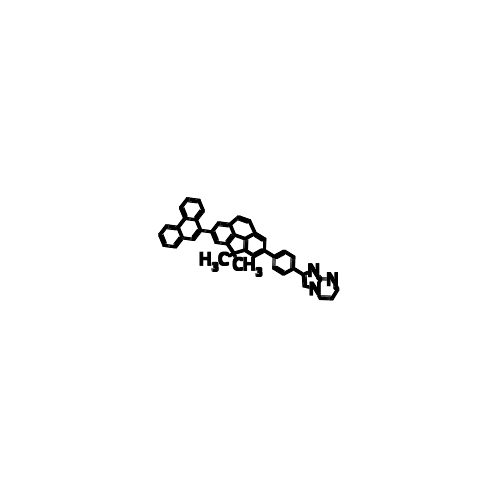 CC1(C)c2cc(-c3ccc(-c4cn5cccnc5n4)cc3)cc3ccc4cc(-c5cc6ccccc6c6ccccc56)cc1c4c23